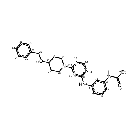 CCC(=O)Nc1cccc(Nc2ncnc(N3CCC(OCc4ccccc4)CC3)n2)c1